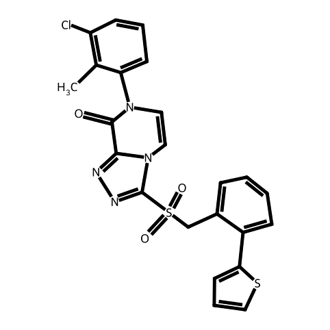 Cc1c(Cl)cccc1-n1ccn2c(S(=O)(=O)Cc3ccccc3-c3cccs3)nnc2c1=O